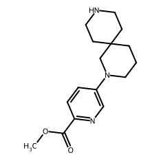 COC(=O)c1ccc(N2CCCC3(CCNCC3)C2)cn1